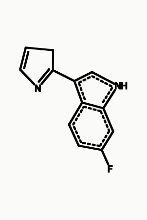 Fc1ccc2c(C3=NC=CC3)c[nH]c2c1